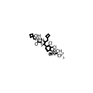 C[C@H](NS(=O)(=O)c1ccc(-c2sc(C(=O)NCC3(O)CCC3)nc2CC2CCC2)c(Cl)c1Cl)C(F)(F)F